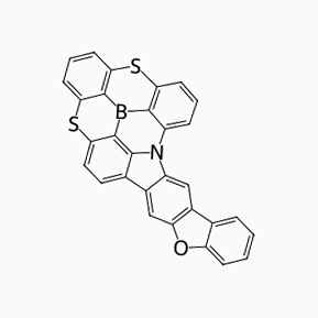 c1cc2c3c(c1)Sc1ccc4c5cc6oc7ccccc7c6cc5n5c4c1B3c1c(cccc1-5)S2